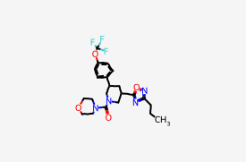 CCCc1noc(C2CC(c3ccc(OC(F)(F)F)cc3)CN(C(=O)N3CCOCC3)C2)n1